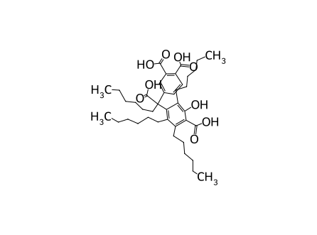 CCCCCCc1c(CCCCCC)c(C(CCCCCC)(C(=O)O)c2ccc(C(=O)O)c(C(=O)O)c2)c(CCCCCC)c(O)c1C(=O)O